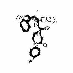 C[C@@H](c1c[nH]c2ccccc12)[C@@H](NC(=O)N1CCN(c2ccc(F)cc2)C(=O)C1)C(=O)O